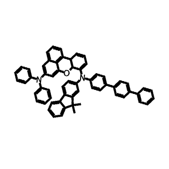 CC1(C)c2ccccc2-c2ccc(N(C3=CC=CC4c5cccc6cc(N(c7ccccc7)c7ccccc7)cc(c56)OC34)c3ccc(-c4ccc(-c5ccccc5)cc4)cc3)cc21